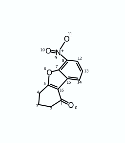 O=C1CCCc2oc3c([N+](=O)[O-])cccc3c21